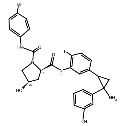 N#Cc1cccc(C2(N)CC2c2ccc(F)c(NC(=O)[C@H]3C[C@@H](O)CN3C(=O)Nc3ccc(Br)cc3)c2)c1